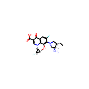 CC[C@H]1CN(c2c(F)cc3c(=O)c(C(=O)O)cn([C@@H]4C[C@@H]4F)c3c2OC)C[C@]1(C)N